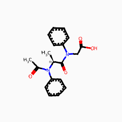 CC(=O)N(c1ccccc1)[C@@H](C)C(=O)N(CC(=O)O)c1ccccc1